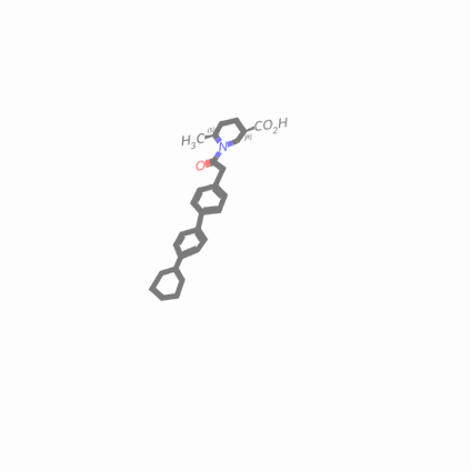 C[C@H]1CC[C@@H](C(=O)O)CN1C(=O)Cc1ccc(-c2ccc(C3CCCCC3)cc2)cc1